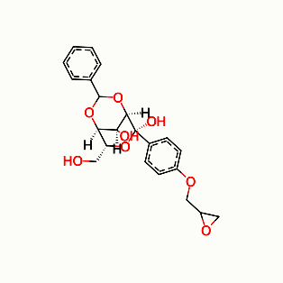 OC[C@H]1O[C@](O)(c2ccc(OCC3CO3)cc2)[C@@H]2OC(c3ccccc3)O[C@H]1[C@@H]2O